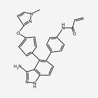 C=CC(=O)Nc1ccc(-c2ccc3[nH]nc(N)c3c2-c2ccc(Oc3ccn(C)n3)cc2)cc1